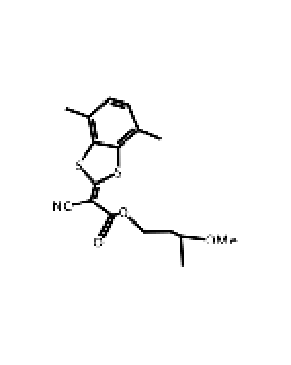 COC(C)CCOC(=O)C(C#N)=C1Sc2c(C)ccc(C)c2S1